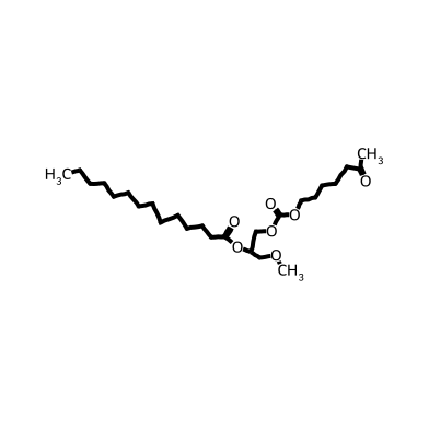 CCCCCCCCCCCCCC(=O)OC(COC)COC(=O)OCCCCCC(C)=O